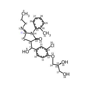 CCC/N=C1/SC(C(O)c2ccc(OC[C@@H](O)CO)c(Cl)c2)C(=O)N1c1ccccc1C